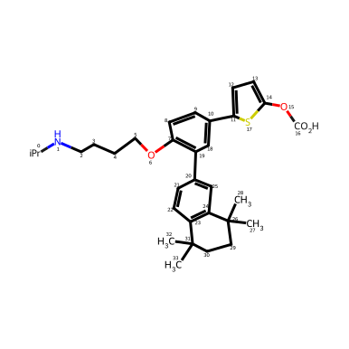 CC(C)NCCCCOc1ccc(-c2ccc(OC(=O)O)s2)cc1-c1ccc2c(c1)C(C)(C)CCC2(C)C